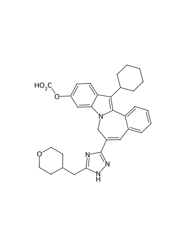 O=C(O)Oc1ccc2c(C3CCCCC3)c3n(c2c1)CC(c1n[nH]c(CC2CCOCC2)n1)=Cc1ccccc1-3